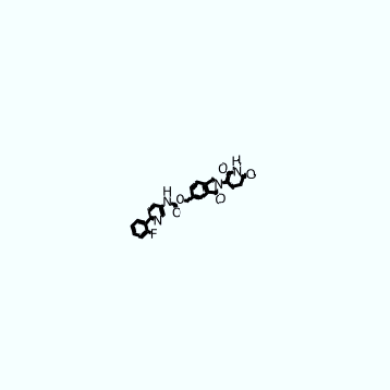 O=C1CCC(N2Cc3ccc(COC(=O)Nc4ccc(-c5ccccc5F)nc4)cc3C2=O)C(=O)N1